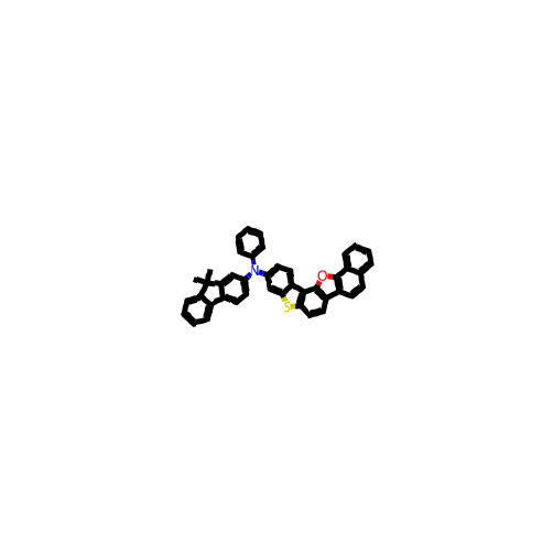 CC1(C)c2ccccc2-c2ccc(N(c3ccccc3)c3ccc4c(c3)sc3ccc5c6ccc7ccccc7c6oc5c34)cc21